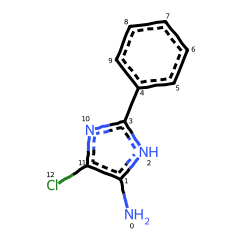 Nc1[nH]c(-c2ccccc2)nc1Cl